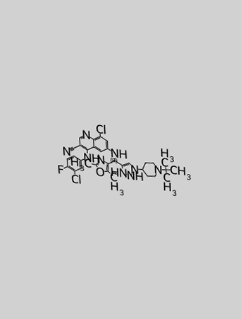 Cc1nc([C@H](Nc2cc(Cl)c3ncc(C#N)c(Nc4ccc(F)c(Cl)c4)c3c2)C2=CN(C3CCN(C(C)(C)C)CC3)NN2)c(C)o1